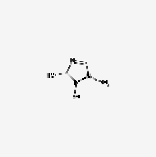 NN1C=NC(O)N1S